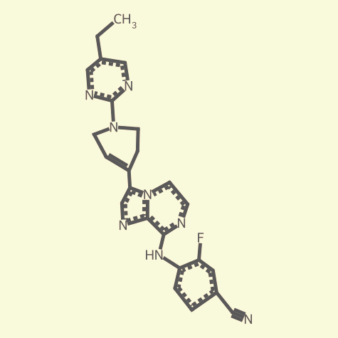 CCc1cnc(N2CC=C(c3cnc4c(Nc5ccc(C#N)cc5F)nccn34)CC2)nc1